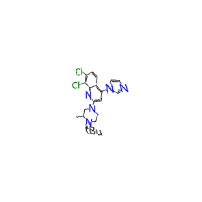 CC1CN(c2cc(-n3ccnc3)c3ccc(Cl)c(Cl)c3n2)CCN1C(C)(C)C